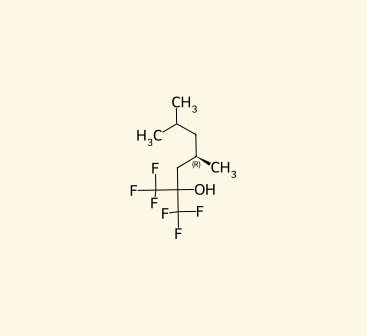 CC(C)C[C@@H](C)CC(O)(C(F)(F)F)C(F)(F)F